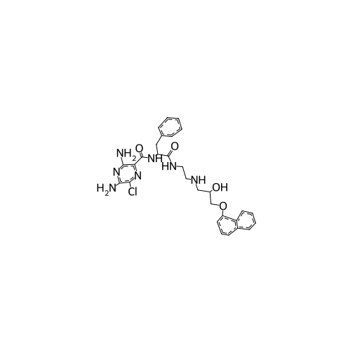 Nc1nc(N)c(C(=O)NC(Cc2ccccc2)C(=O)NCCNCC(O)COc2cccc3ccccc23)nc1Cl